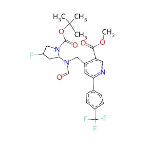 COC(=O)c1cnc(-c2ccc(C(F)(F)F)cc2)cc1CN(C=O)C1CC(F)CN1C(=O)OC(C)(C)C